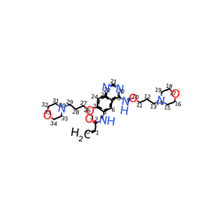 C=CC(=O)Nc1cc2c(NOCCCN3CCOCC3)ncnc2cc1OCCCN1CCOCC1